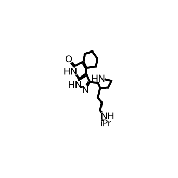 CC(C)NCCCC1CCNC1c1n[nH]c2[nH]c(=O)c3c(c12)CCCC3